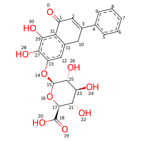 O=C1C=C(c2ccccc2)Cc2cc(O[C@@H]3O[C@H](C(=O)O)[C@@H](O)[C@H](O)[C@H]3O)c(O)c(O)c21